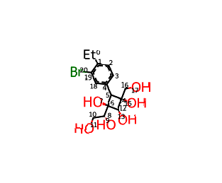 CCc1ccc(C2[C@@](O)([C@H](O)CO)[C@H](O)[C@@]2(O)CO)cc1Br